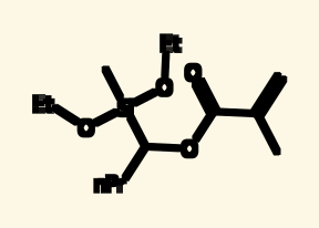 C=C(C)C(=O)OC(CCC)[Si](C)(OCC)OCC